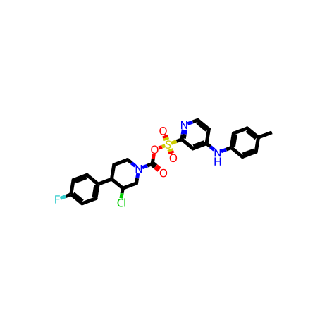 Cc1ccc(Nc2ccnc(S(=O)(=O)OC(=O)N3CCC(c4ccc(F)cc4)C(Cl)C3)c2)cc1